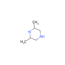 CC1CNCC(C)[N]1